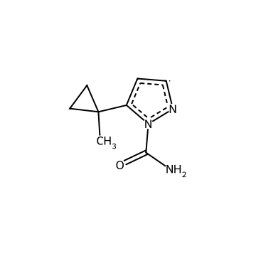 CC1(c2c[c]nn2C(N)=O)CC1